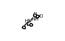 Clc1ccc2c(NCCNCCN(Cc3ccccc3)Cc3ccccc3)ccnc2c1